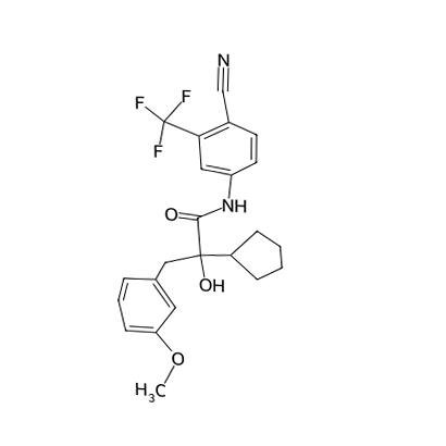 COc1cccc(CC(O)(C(=O)Nc2ccc(C#N)c(C(F)(F)F)c2)C2CCCC2)c1